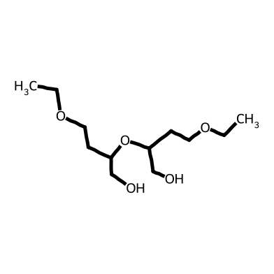 CCOCCC(CO)OC(CO)CCOCC